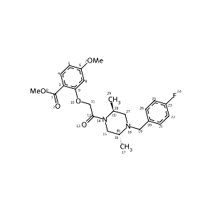 COC(=O)c1ccc(OC)cc1OCC(=O)N1C[C@@H](C)N(Cc2ccc(F)cc2)C[C@@H]1C